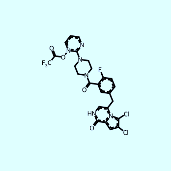 O=C(c1cc(Cc2c[nH]c(=O)c3cc(Cl)c(Cl)n23)ccc1F)N1CCN(c2nccc[n+]2OC(=O)C(F)(F)F)CC1